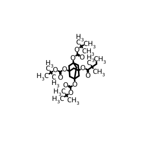 CCC(C)(C)C(=O)OC12CC3(OC(=O)OC(C)(C)C)CC(OC(=O)OC(C)(C)C)(CC(OC(=O)OC(C)(C)C)(C3)C1)C2